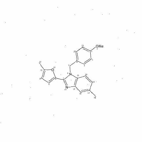 COc1ccc(Cn2c(-c3ccc(C)o3)nc3cc(C)ccc32)cc1